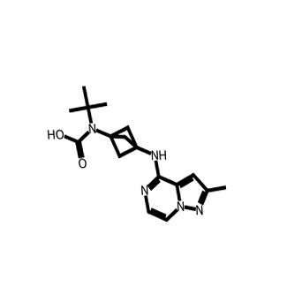 Cc1cc2c(NC34CC(N(C(=O)O)C(C)(C)C)(C3)C4)nccn2n1